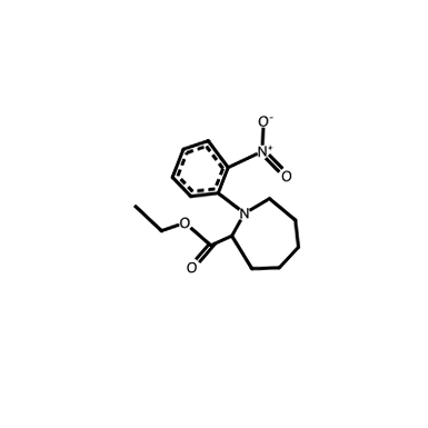 CCOC(=O)C1CCCCCN1c1ccccc1[N+](=O)[O-]